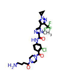 Cn1c(-c2cn(C3CC3)nc2C(F)(F)F)cnc1C(=O)Nc1ccc(C(=O)N2CCN(C(=O)CCCN)CC2)c(Cl)c1